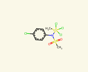 CS(=O)(=O)N(c1ccc(Cl)cc1)[SH](C)(Cl)(Cl)Cl